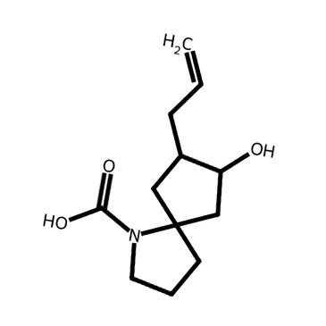 C=CCC1CC2(CCCN2C(=O)O)CC1O